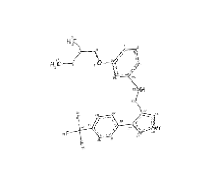 CCC(C)COc1cccc(NCc2c[nH]nc2-c2ccc(C(F)(F)F)cc2)c1